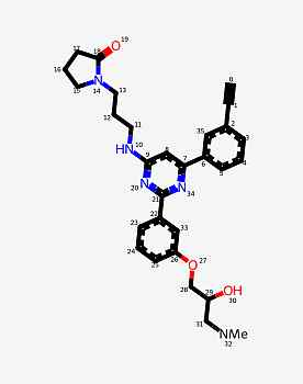 C#Cc1cccc(-c2cc(NCCCN3CCCC3=O)nc(-c3cccc(OCC(O)CNC)c3)n2)c1